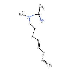 C=CCC=CCCCN(C)C(C)N